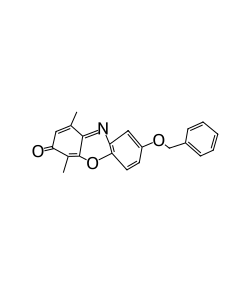 Cc1cc(=O)c(C)c2oc3ccc(OCc4ccccc4)cc3nc1-2